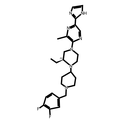 CC[C@H]1CN(c2ncc(-c3ncc[nH]3)nc2C)CCN1C1CCN(Cc2ccc(F)c(F)c2)CC1